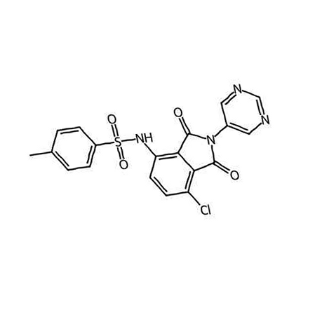 Cc1ccc(S(=O)(=O)Nc2ccc(Cl)c3c2C(=O)N(c2cncnc2)C3=O)cc1